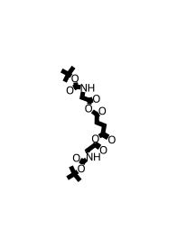 CC(C)(C)OC(=O)NCC(=O)OC(=O)CCC(=O)OC(=O)CNC(=O)OC(C)(C)C